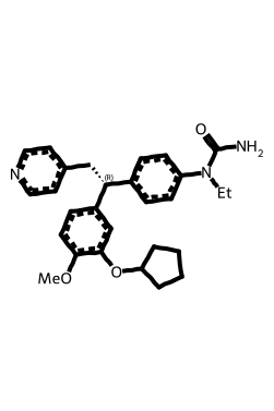 CCN(C(N)=O)c1ccc([C@@H](Cc2ccncc2)c2ccc(OC)c(OC3CCCC3)c2)cc1